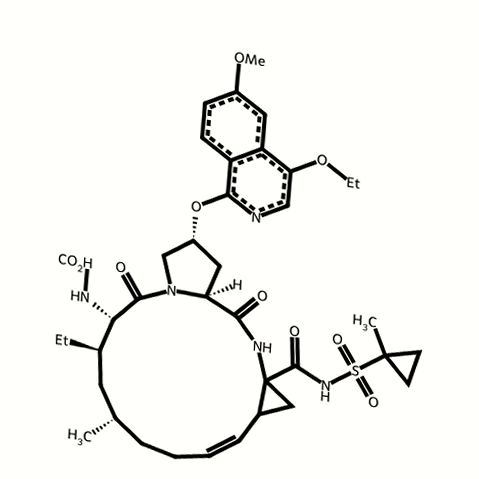 CCOc1cnc(O[C@@H]2C[C@H]3C(=O)NC4(C(=O)NS(=O)(=O)C5(C)CC5)CC4/C=C\CC[C@H](C)C[C@@H](CC)[C@H](NC(=O)O)C(=O)N3C2)c2ccc(OC)cc12